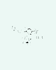 COc1ncc(Br)cc1NS(C)(=O)=O.N